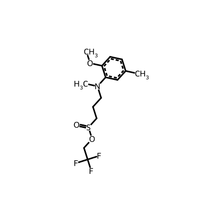 COc1ccc(C)cc1N(C)CCCS(=O)OCC(F)(F)F